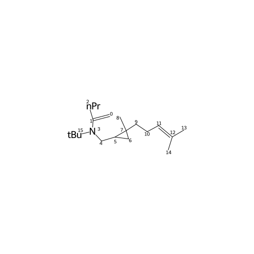 C=C(CCC)N(CC1CC1(C)CCC=C(C)C)C(C)(C)C